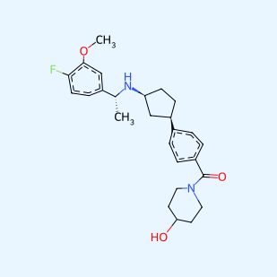 COc1cc([C@@H](C)N[C@H]2CC[C@@H](c3ccc(C(=O)N4CCC(O)CC4)cc3)C2)ccc1F